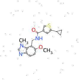 COc1ccc2ncn(C)c2c1CNC(=O)c1csc(C2CC2)c1